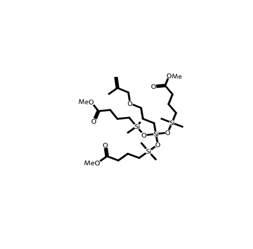 C=C(C)COCCC[Si](O[Si](C)(C)CCCC(=O)OC)(O[Si](C)(C)CCCC(=O)OC)O[Si](C)(C)CCCC(=O)OC